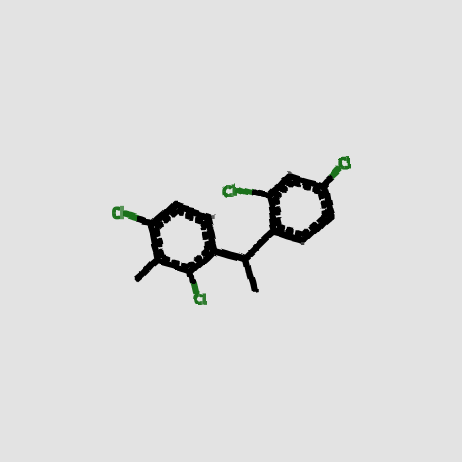 Cc1c(Cl)c[c]c(C(C)c2[c]cc(Cl)[c]c2Cl)c1Cl